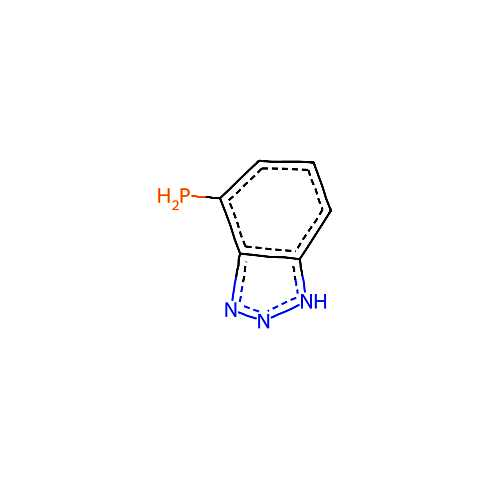 Pc1cccc2[nH]nnc12